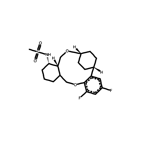 CS(=O)(=O)N[C@H]1CCCC2COc3c(F)cc(F)cc3[C@H]3CC[C@H](CC3)OC[C@H]21